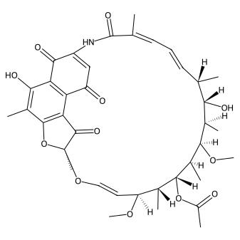 CO[C@H]1[C@@H](C)[C@H](OC(C)=O)[C@H](C)[C@@H](OC)/C=C/O[C@@]2(C)Oc3c(C)c(O)c4c(c3C2=O)C(=O)C=C(NC(=O)/C(C)=C\C=C\[C@H](C)[C@H](O)[C@H]1C)C4=O